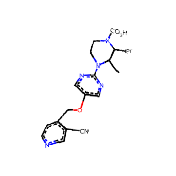 CC(C)C1C(C)N(c2ncc(OCc3ccncc3C#N)cn2)CCN1C(=O)O